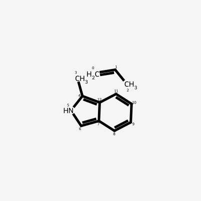 C=CC.Cc1[nH]cc2ccccc12